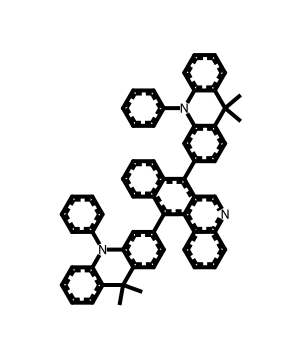 CC1(C)c2ccccc2N(c2ccccc2)c2cc(-c3c4ccccc4c(-c4ccc5c(c4)N(c4ccccc4)c4ccccc4C5(C)C)c4c3cnc3ccccc34)ccc21